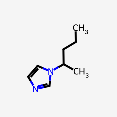 CCCC(C)n1ccnc1